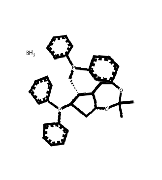 B.CC1(C)OCCC2C(CC(P(c3ccccc3)c3ccccc3)[C@@H]2CP(c2ccccc2)c2ccccc2)O1